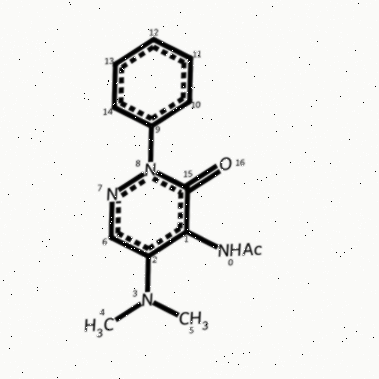 CC(=O)Nc1c(N(C)C)cnn(-c2ccccc2)c1=O